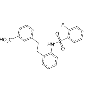 O=C(O)c1cccc(CCc2ccccc2NS(=O)(=O)c2ccccc2F)c1